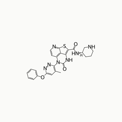 Cc1cc(Oc2ccccc2)nnc1N1C(=O)Nc2c(C(=O)N[C@@H]3CCCNC3)sc3nccc1c23